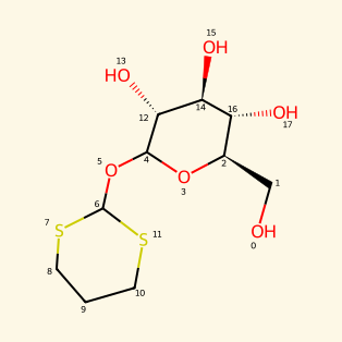 OC[C@H]1OC(OC2SCCCS2)[C@H](O)[C@@H](O)[C@@H]1O